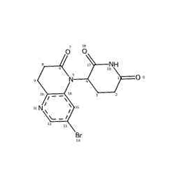 O=C1CCC(N2C(=O)CCc3ncc(Br)cc32)C(=O)N1